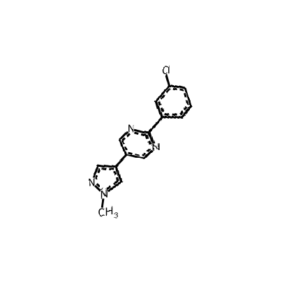 Cn1cc(-c2cnc(-c3cccc(Cl)c3)nc2)cn1